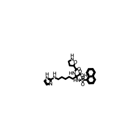 O=C(NC(CCCCCNc1ncc[nH]1)(NS(=O)(=O)c1cccc2ccccc12)C(=O)O)C1CCNO1